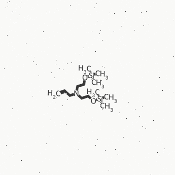 C=CCN(CCO[Si](C)(C)C)CCO[Si](C)(C)C